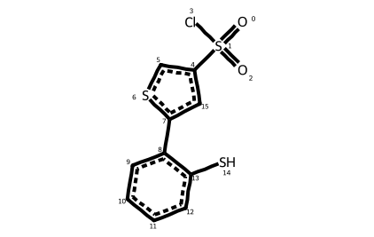 O=S(=O)(Cl)c1csc(-c2ccccc2S)c1